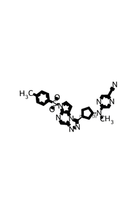 Cc1ccc(S(=O)(=O)n2ccc3c2ncc2nnc([C@H]4CC[C@H](N(C)c5cnc(C#N)cn5)C4)n23)cc1